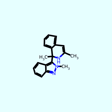 CC1=Cc2ccccc2C(C)(c2c3ccccc3nn2C)N1